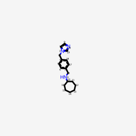 c1cn(Cc2ccc(CNC3CCCCCC3)cc2)cn1